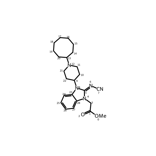 COC(=O)Cn1/c(=N\C#N)n(C2CCN(C3CCCCCCC3)CC2)c2ccccc21